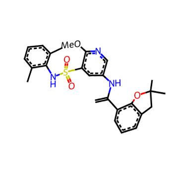 C=C(Nc1cnc(OC)c(S(=O)(=O)Nc2c(C)cccc2C)c1)c1cccc2c1OC(C)(C)C2